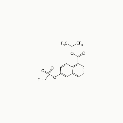 O=C(OC(C(F)(F)F)C(F)(F)F)c1cccc2cc(OS(=O)(=O)CF)ccc12